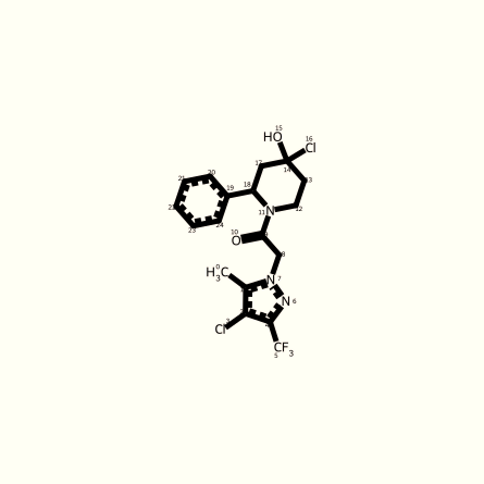 Cc1c(Cl)c(C(F)(F)F)nn1CC(=O)N1CCC(O)(Cl)CC1c1ccccc1